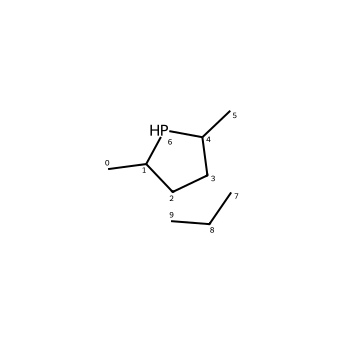 CC1CCC(C)P1.CCC